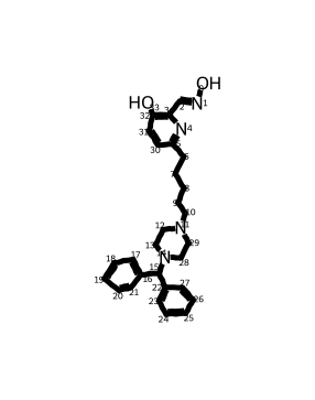 ON=Cc1nc(CCCCCN2CCN(C(c3ccccc3)c3ccccc3)CC2)ccc1O